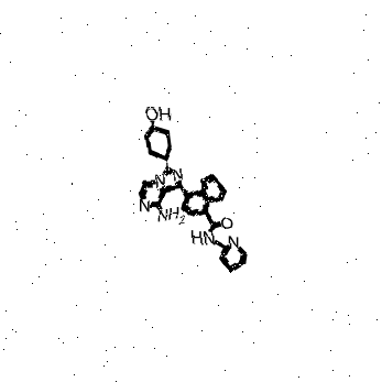 Nc1nccn2c1c(-c1ccc(C(=O)Nc3ccccn3)c3ccccc13)nc2[C@H]1CC[C@H](O)CC1